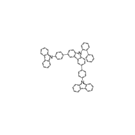 c1ccc(-c2ccccc2-n2c3ccc(-c4ccc(-n5c6ccccc6c6ccccc65)cc4)cc3c3cc(-c4ccc(-n5c6ccccc6c6ccccc65)cc4)ccc32)cc1